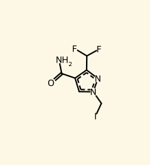 NC(=O)c1cn(CI)nc1C(F)F